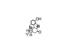 O=C1CC[C@@]2(O)[C@H]3Cc4ccc(O)c5c4[C@@]2(CCN3C2CC2)[C@H]1O5